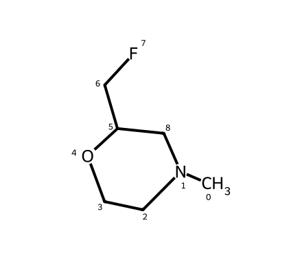 CN1CCOC(CF)C1